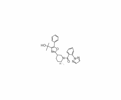 C[C@@H]1CCC(c2nc(C(C)(C)O)c(-c3ccccc3)o2)CN1C(=O)c1ccccc1-n1nccn1